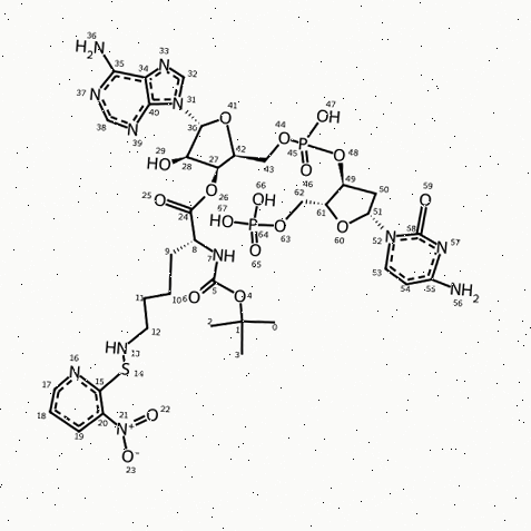 CC(C)(C)OC(=O)N[C@H](CCCCNSc1ncccc1[N+](=O)[O-])C(=O)O[C@H]1[C@@H](O)[C@H](n2cnc3c(N)ncnc32)O[C@H]1COP(=O)(O)O[C@H]1C[C@H](n2ccc(N)nc2=O)O[C@@H]1COP(=O)(O)O